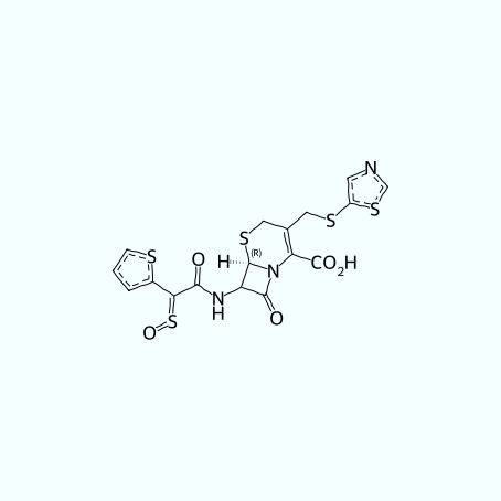 O=S=C(C(=O)NC1C(=O)N2C(C(=O)O)=C(CSc3cncs3)CS[C@H]12)c1cccs1